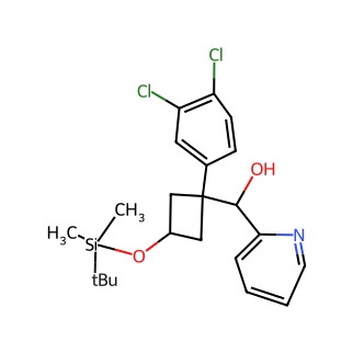 CC(C)(C)[Si](C)(C)OC1CC(c2ccc(Cl)c(Cl)c2)(C(O)c2ccccn2)C1